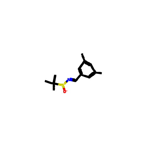 Cc1cc(C)cc(C=N[S+]([O-])C(C)(C)C)c1